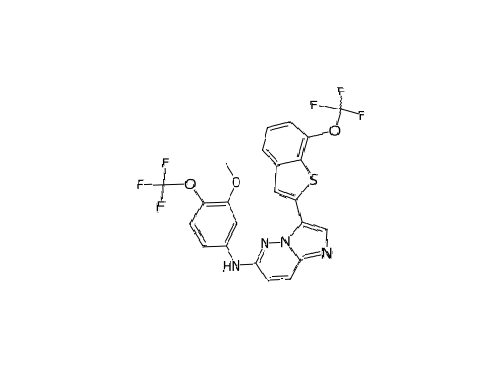 COc1cc(Nc2ccc3ncc(-c4cc5cccc(OC(F)(F)F)c5s4)n3n2)ccc1OC(F)(F)F